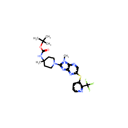 Cn1c(N2CCC(C)(NC(=O)OC(C)(C)C)CC2)nc2nc(Sc3cccnc3C(F)(F)F)cnc21